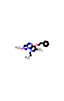 CCCN1C=C(C)C(OCCc2ccccc2)C2=C1N1CN(OC)C=C1C=N2